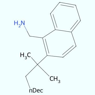 CCCCCCCCCCCC(C)(C)c1ccc2ccccc2c1CN